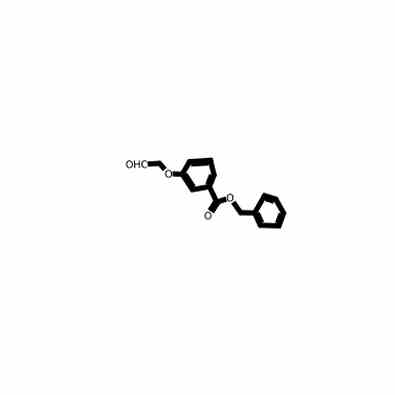 O=CCOc1cccc(C(=O)OCc2ccccc2)c1